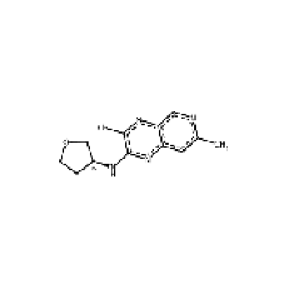 Cc1cc2nc(N[C@H]3CCOC3)c(Cl)nc2cn1